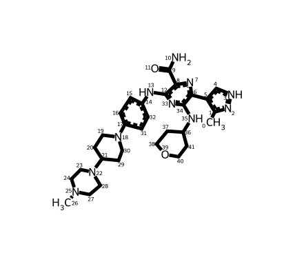 Cc1n[nH]cc1-c1nc(C(N)=O)c(Nc2ccc(N3CCC(N4CCN(C)CC4)CC3)cc2)nc1NC1CCOCC1